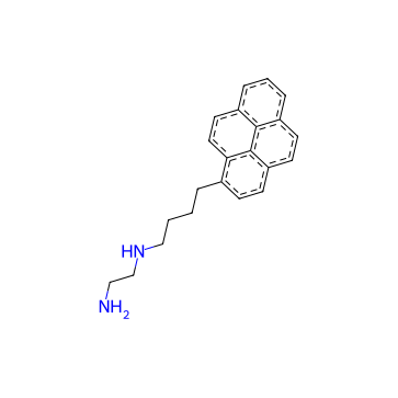 NCCNCCCCc1ccc2ccc3cccc4ccc1c2c34